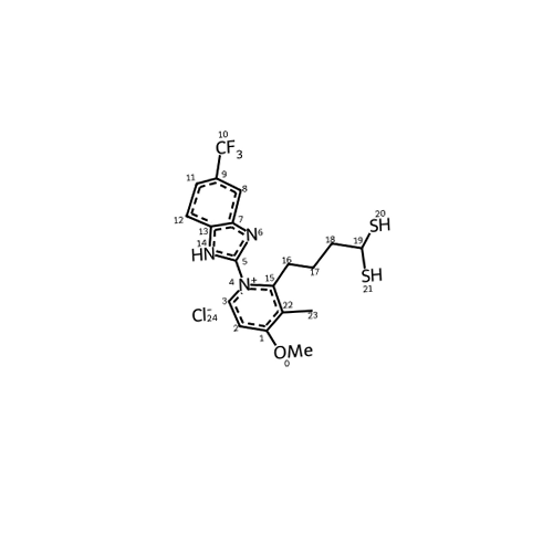 COc1cc[n+](-c2nc3cc(C(F)(F)F)ccc3[nH]2)c(CCCC(S)S)c1C.[Cl-]